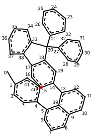 Cc1ccc(-c2cccc3cccc(-c4ccc5c(c4)C(c4ccccc4)(c4ccccc4)c4ccccc4-5)c23)cc1